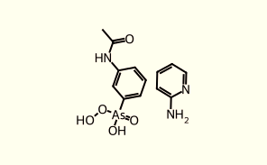 CC(=O)Nc1cccc([As](=O)(O)OO)c1.Nc1ccccn1